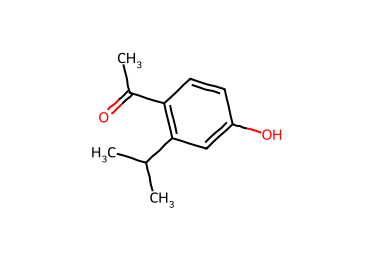 CC(=O)c1ccc(O)cc1C(C)C